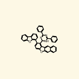 c1ccc(C2=NC(c3c(-c4cccc5c4oc4ccccc45)ccc4oc5cc6ccccc6cc5c34)NC(c3ccccc3)=N2)cc1